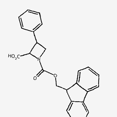 O=C(O)C1C(c2ccccc2)CN1C(=O)OCC1c2ccccc2-c2ccccc21